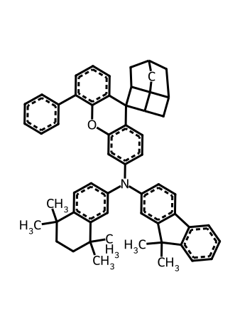 CC1(C)CCC(C)(C)c2cc(N(c3ccc4c(c3)Oc3c(-c5ccccc5)cccc3C43C4CC5CC6CC3C64C5)c3ccc4c(c3)C(C)(C)c3ccccc3-4)ccc21